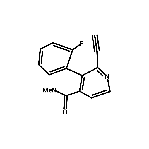 C#Cc1nccc(C(=O)NC)c1-c1ccccc1F